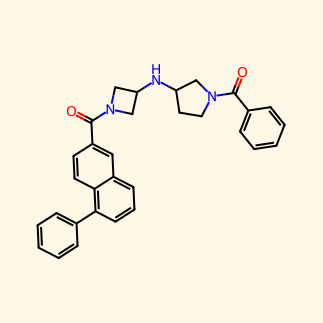 O=C(c1ccccc1)N1CCC(NC2CN(C(=O)c3ccc4c(-c5ccccc5)cccc4c3)C2)C1